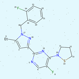 CCc1cc(-c2ncc(F)c(N3CCCS3)n2)nn1Cc1ccccc1F